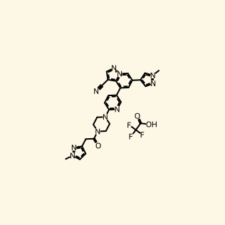 Cn1cc(-c2cc(-c3ccc(N4CCN(C(=O)Cc5ccn(C)n5)CC4)nc3)c3c(C#N)cnn3c2)cn1.O=C(O)C(F)(F)F